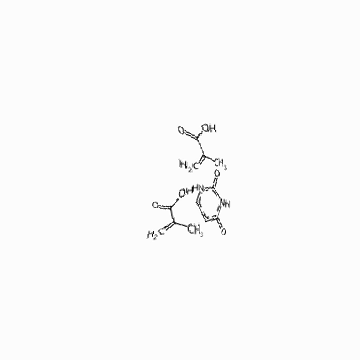 C=C(C)C(=O)O.C=C(C)C(=O)O.O=c1cc[nH]c(=O)[nH]1